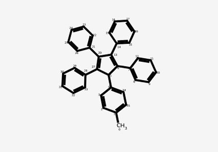 Cc1ccc(C2C(c3ccccc3)=C(c3ccccc3)C(c3ccccc3)=C2c2ccccc2)cc1